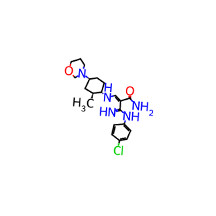 C[C@H]1C[C@@H](N2CCCOC2)CC[C@@H]1N/C=C(\C(=N)Nc1ccc(Cl)cc1)C(N)=O